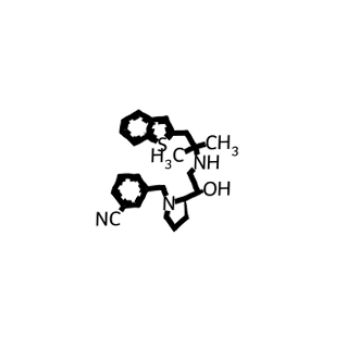 CC(C)(Cc1cc2ccccc2s1)NC[C@@H](O)[C@H]1CCCN1Cc1cccc(C#N)c1